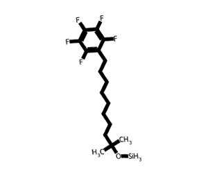 CC(C)(CCCCCCCCc1c(F)c(F)c(F)c(F)c1F)O[SiH3]